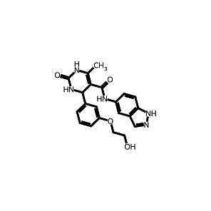 CC1=C(C(=O)Nc2ccc3[nH]ncc3c2)C(c2cccc(OCCO)c2)NC(=O)N1